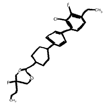 CCCC1(F)COC(C2CCC(c3ccc(-c4ccc(CC)c(F)c4Cl)cc3)CC2)OC1